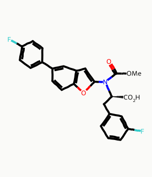 COC(=O)N(c1cc2cc(-c3ccc(F)cc3)ccc2o1)[C@H](Cc1cccc(F)c1)C(=O)O